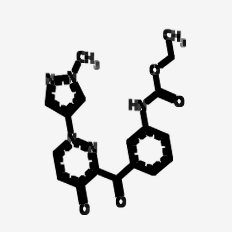 CCOC(=O)Nc1cccc(C(=O)c2nn(-c3cnn(C)c3)ccc2=O)c1